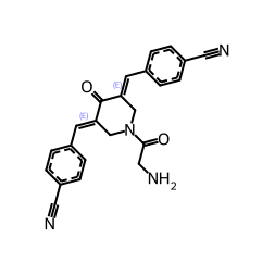 N#Cc1ccc(/C=C2\CN(C(=O)CN)C/C(=C\c3ccc(C#N)cc3)C2=O)cc1